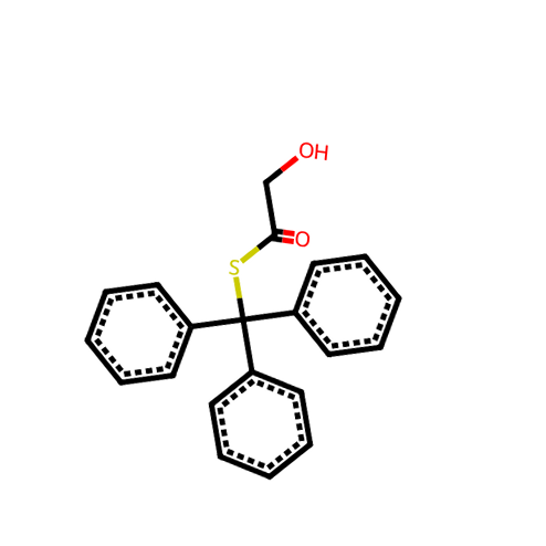 O=C(CO)SC(c1ccccc1)(c1ccccc1)c1ccccc1